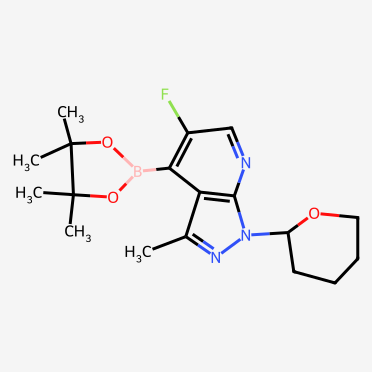 Cc1nn(C2CCCCO2)c2ncc(F)c(B3OC(C)(C)C(C)(C)O3)c12